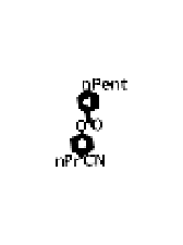 CCCCCc1ccc(C(=O)O[C@H]2CC[C@@](C#N)(CCC)CC2)cc1